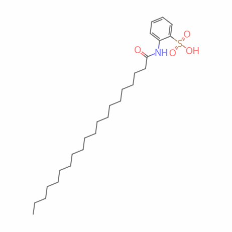 CCCCCCCCCCCCCCCCCCCC(=O)Nc1ccccc1S(=O)(=O)O